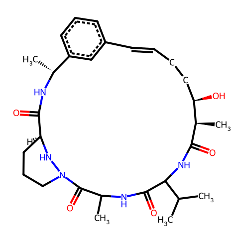 CC1NC(=O)C(C(C)C)NC(=O)[C@H](C)[C@H](O)CC/C=C/c2cccc(c2)[C@@H](C)NC(=O)[C@@H]2CCCN(N2)C1=O